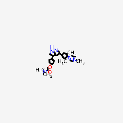 Cc1cc(-c2cnc3[nH]cc(-c4ccc(OCC(=O)N(C)C)cc4)c3c2)cc(C)c1N1CCN(C)CC1